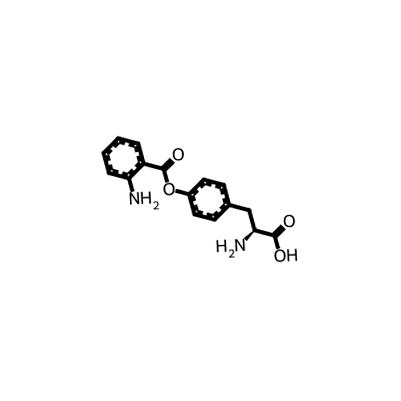 Nc1ccccc1C(=O)Oc1ccc(C[C@H](N)C(=O)O)cc1